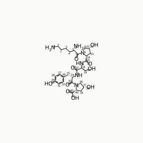 NCCCC[C@H](N)C(=O)N1C[C@H](O)C[C@H]1C(=O)N[C@@H](CO)C(=O)N[C@@H](Cc1ccc(O)cc1)C(=O)N1C[C@H](O)C[C@H]1C(=O)O